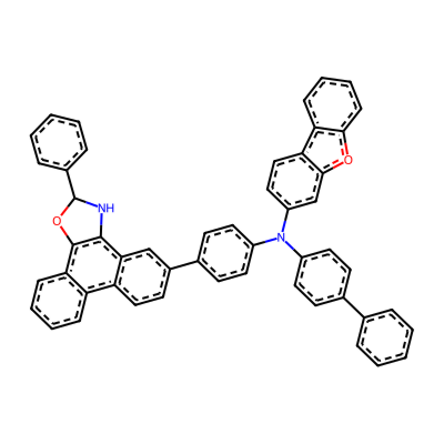 c1ccc(-c2ccc(N(c3ccc(-c4ccc5c(c4)c4c(c6ccccc65)OC(c5ccccc5)N4)cc3)c3ccc4c(c3)oc3ccccc34)cc2)cc1